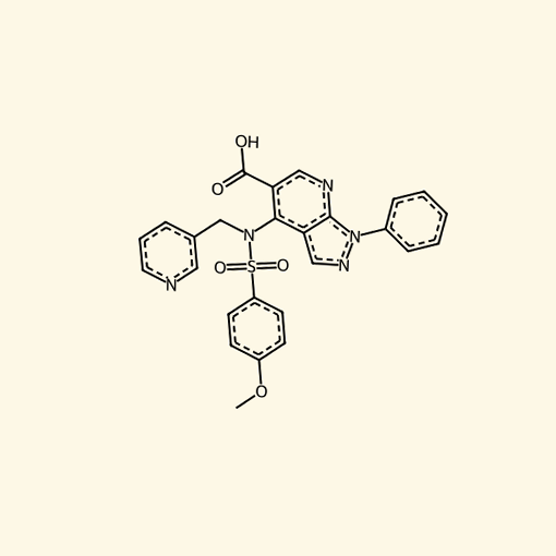 COc1ccc(S(=O)(=O)N(Cc2cccnc2)c2c(C(=O)O)cnc3c2cnn3-c2ccccc2)cc1